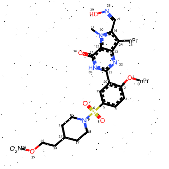 CCCOc1ccc(S(=O)(=O)N2CCC(CCO[N+](=O)[O-])CC2)cc1-c1nc2c(CCC)c(/C=N\O)n(C)c2c(=O)[nH]1